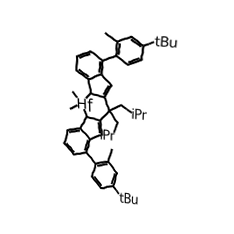 Cc1cc(C(C)(C)C)ccc1-c1cccc2c1C=C1[CH]2[Hf]([CH3])([CH3])[CH]2C(=Cc3c(-c4ccc(C(C)(C)C)cc4C)cccc32)C1(CC(C)C)CC(C)C